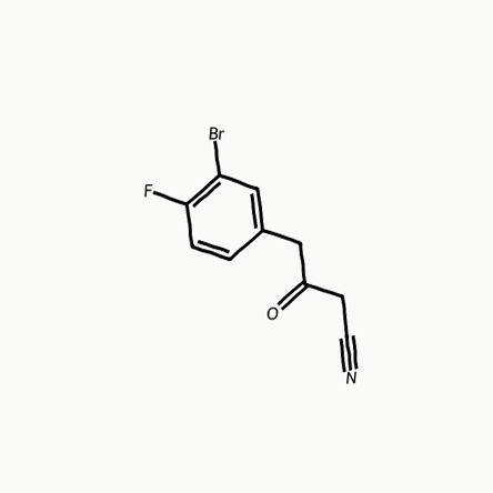 N#CCC(=O)Cc1ccc(F)c(Br)c1